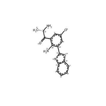 C[C@H](N)C(=O)c1cc(Cl)cc(-c2nc3ccccc3s2)c1N